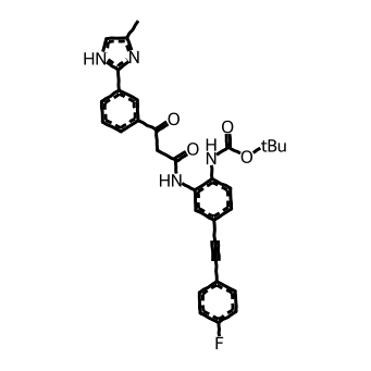 Cc1c[nH]c(-c2cccc(C(=O)CC(=O)Nc3cc(C#Cc4ccc(F)cc4)ccc3NC(=O)OC(C)(C)C)c2)n1